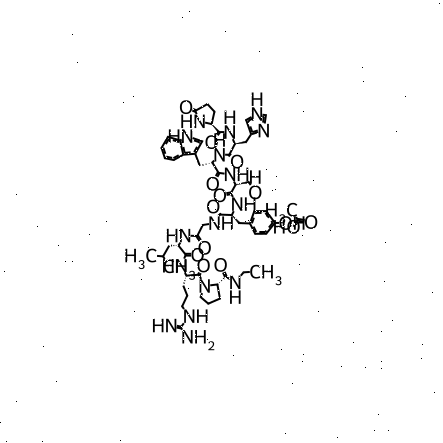 CC(=O)O.CCNC(=O)[C@@H]1CCCN1C(=O)[C@H](CCCNC(=N)N)NC(=O)[C@H](CC(C)C)NC(=O)CNC(=O)[C@H](Cc1ccc(O)cc1)NC(=O)[C@H](CO)NC(=O)[C@H](Cc1c[nH]c2ccccc12)NC(=O)[C@H](Cc1c[nH]cn1)NC(=O)[C@@H]1CCC(=O)N1